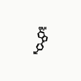 N#Cc1ccc(-n2ccc3cc(C(=O)O)ccc32)cc1